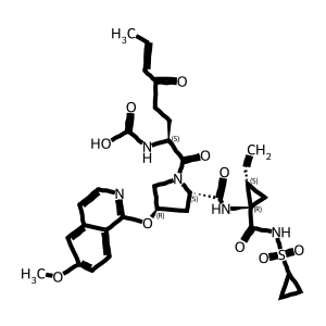 C=C[C@@H]1C[C@]1(NC(=O)[C@@H]1C[C@@H](Oc2nccc3cc(OC)ccc23)CN1C(=O)[C@H](CCC(=O)C=CC)NC(=O)O)C(=O)NS(=O)(=O)C1CC1